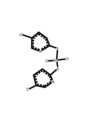 Clc1ccc([S][Sn]([Cl])([Cl])[S]c2ccc(Cl)cn2)nc1